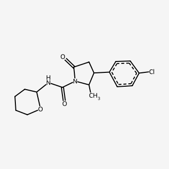 CC1C(c2ccc(Cl)cc2)CC(=O)N1C(=O)NC1CCCCO1